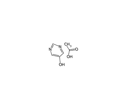 CC(=O)O.Oc1cncnc1